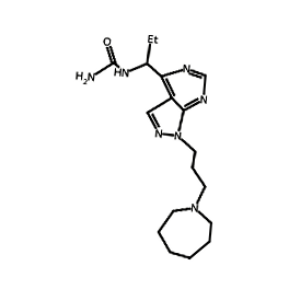 CCC(NC(N)=O)c1ncnc2c1cnn2CCCN1CCCCCC1